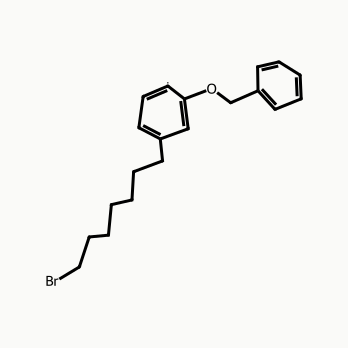 BrCCCCCCCc1cc[c]c(OCc2ccccc2)c1